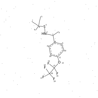 CC(NSC(C)(C)C)c1ccc(OC(F)(F)C(F)(F)F)cc1